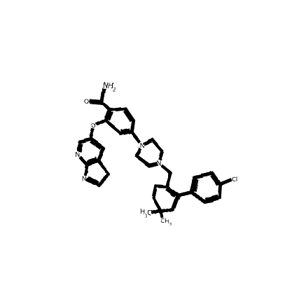 CC1(C)CCC(CN2CCN(c3ccc(C(N)=O)c(Oc4cnc5c(c4)CC=N5)c3)CC2)=C(c2ccc(Cl)cc2)C1